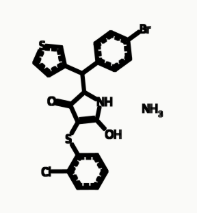 N.O=C1C(Sc2ccccc2Cl)=C(O)NC1C(c1ccc(Br)cc1)c1ccsc1